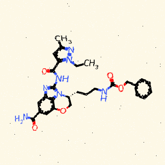 CCn1nc(C)cc1C(=O)Nc1nc2cc(C(N)=O)cc3c2n1[C@H](CCCNC(=O)OCc1ccccc1)CO3